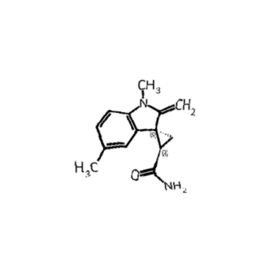 C=C1N(C)c2ccc(C)cc2[C@@]12C[C@H]2C(N)=O